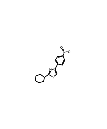 O=[N+]([O-])c1ccc(-c2csc(C3CCCCC3)n2)cc1